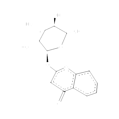 C[C@@H]1O[C@@H](Oc2cc(=O)c3ccccc3o2)[C@H](O)[C@H](O)[C@H]1O